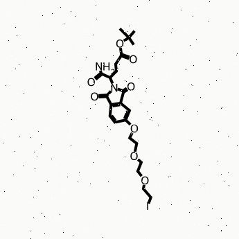 CC(C)(C)OC(=O)CCC(C(N)=O)N1C(=O)c2ccc(OCCOCCOCCI)cc2C1=O